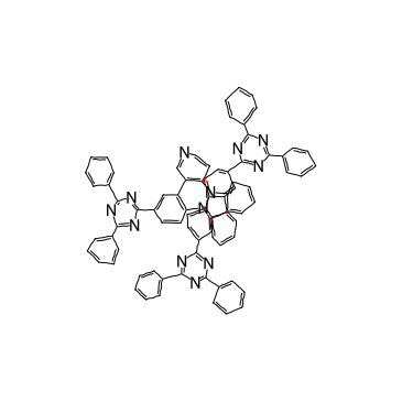 c1ccc(-c2nc(-c3ccccc3)nc(-c3ccc(-n4c5ccccc5c5cc(-c6nc(-c7ccccc7)nc(-c7ccccc7)n6)ccc54)c(-c4cnccc4-n4c5ccccc5c5cc(-c6nc(-c7ccccc7)nc(-c7ccccc7)n6)ccc54)c3)n2)cc1